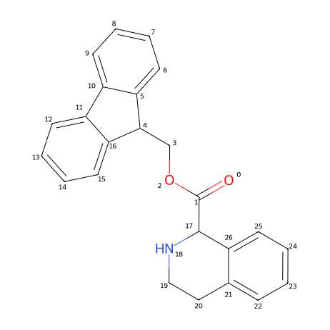 O=C(OCC1c2ccccc2-c2ccccc21)C1NCCc2ccccc21